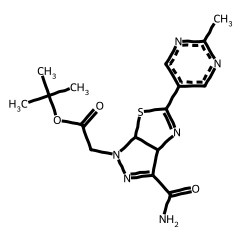 Cc1ncc(C2=NC3C(C(N)=O)=NN(CC(=O)OC(C)(C)C)C3S2)cn1